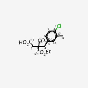 CCOC(=O)C(CC(=O)O)(Cc1ccc(Cl)c(C)c1)C(=O)OCC